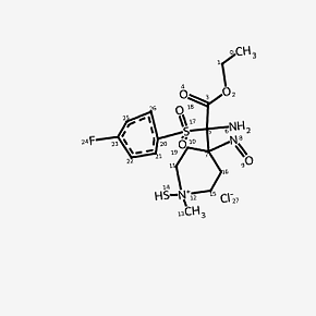 CCOC(=O)C(N)(C1(N=O)CC[N+](C)(S)CC1)S(=O)(=O)c1ccc(F)cc1.[Cl-]